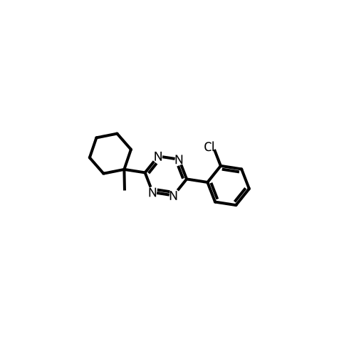 CC1(c2nnc(-c3ccccc3Cl)nn2)CCCCC1